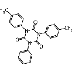 Cc1ccc(-n2c(=O)n(-c3ccccc3)c(=O)n(-c3ccc(C(F)(F)F)cc3)c2=O)cc1